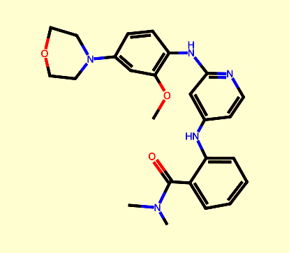 COc1cc(N2CCOCC2)ccc1Nc1cc(Nc2ccccc2C(=O)N(C)C)ccn1